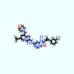 O=C(Nc1cc(NCc2cn3cc(C4CC4)cc(CN4CCOCC4)c3n2)ncn1)[C@H]1C[C@@H]1c1cccc(Cl)c1